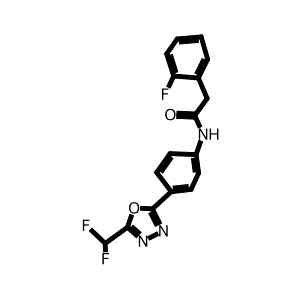 O=C(Cc1ccccc1F)Nc1ccc(-c2nnc(C(F)F)o2)cc1